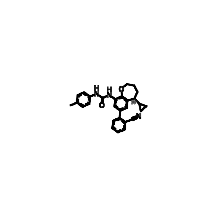 Cc1ccc(NC(=O)Nc2cc(-c3ccccc3C#N)cc3c2OCCC[C@H]3C2CC2)cc1